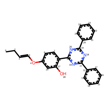 CCC=COc1ccc(-c2nc(-c3ccccc3)nc(-c3ccccc3)n2)c(O)c1